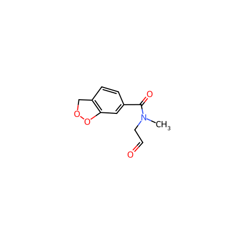 CN(CC=O)C(=O)c1ccc2c(c1)OOC2